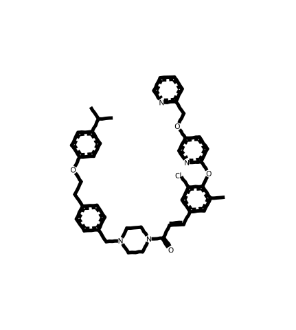 Cc1cc(/C=C/C(=O)N2CCN(Cc3ccc(CCOc4ccc(C(C)C)cc4)cc3)CC2)cc(Cl)c1Oc1ccc(OCc2ccccn2)cn1